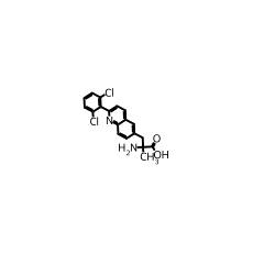 CC(N)(Cc1ccc2nc(-c3c(Cl)cccc3Cl)ccc2c1)C(=O)O